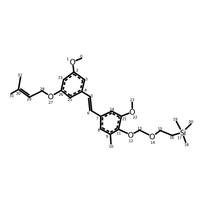 COc1cc(/C=C/c2cc(C)c(OCOCC[Si](C)(C)C)c(OC)c2)cc(OCC=C(C)C)c1